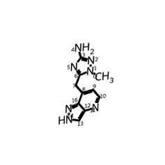 Cn1nc(N)nc1Cc1ccnc2c[nH]nc12